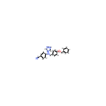 N#Cc1ccc(N(Cc2ccc(OCc3ccccc3)cc2)n2cnnc2)cc1